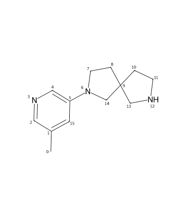 Cc1cncc(N2CCC3(CCNC3)C2)c1